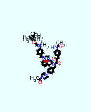 CC(=O)Nc1ccc(C=CC(=O)N(Cc2ccc(N3CCN(C(C)=O)CC3)cc2)[C@@H](Cc2ccccc2)C(=O)N2CCN(Cc3ccc(N(C)CCO[Si](C)(C)C(C)(C)C)cc3)CC2)cc1